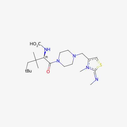 CN=c1scc(CN2CCN(C(=O)[C@H](NC(=O)O)C(C)(C)CC(C)(C)C)CC2)n1C